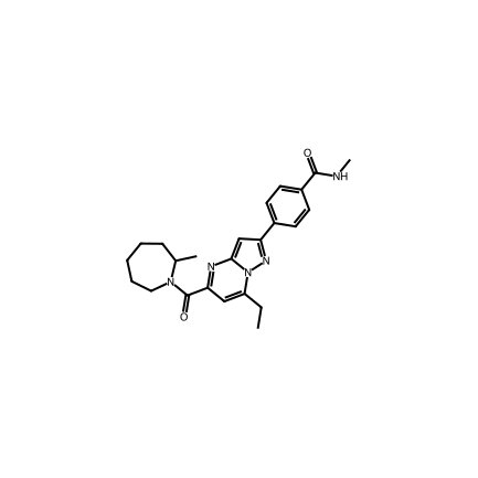 CCc1cc(C(=O)N2CCCCCC2C)nc2cc(-c3ccc(C(=O)NC)cc3)nn12